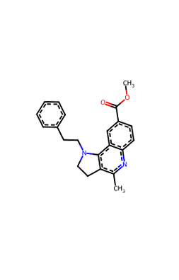 COC(=O)c1ccc2nc(C)c3c(c2c1)N(CCc1ccccc1)CC3